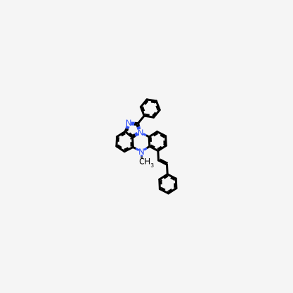 CN1c2c(/C=C/c3ccccc3)cccc2-n2c(-c3ccccc3)nc3cccc1c32